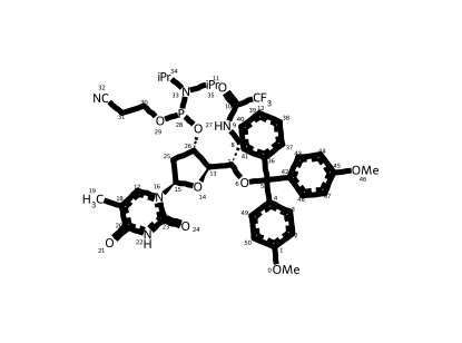 COc1ccc(C(O[C@@H](CNC(=O)C(F)(F)F)[C@H]2O[C@@H](n3cc(C)c(=O)[nH]c3=O)C[C@@H]2OP(OCCC#N)N(C(C)C)C(C)C)(c2ccccc2)c2ccc(OC)cc2)cc1